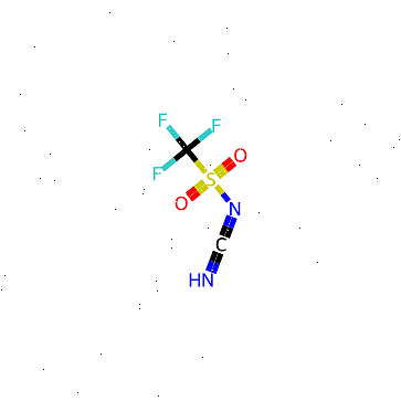 N=C=NS(=O)(=O)C(F)(F)F